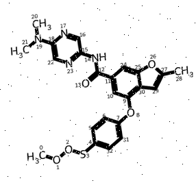 COOSc1ccc(Oc2cc(C(=O)Nc3cnc(N(C)C)cn3)cc3oc(C)cc23)cc1